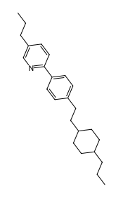 CCCc1ccc(-c2ccc(CCC3CCC(CCC)CC3)cc2)nc1